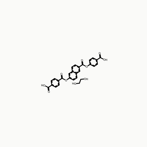 O=C(O)c1ccc(OC(=O)c2ccc3cc(OC(=O)c4ccc(C(=O)O)cc4)ccc3c2)cc1.OCCO